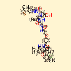 Cc1ccsc1-c1ccc(CNC(=O)[C@@H]2C[C@@H](O)CN2C[C@@H](NC(=O)CNC(=O)CCCOc2ccc(C(=O)N[C@H]3C(C)(C)[C@H](Oc4ccc(C#N)c(Cl)c4)C3(C)C)cc2)C(C)(C)C)cc1